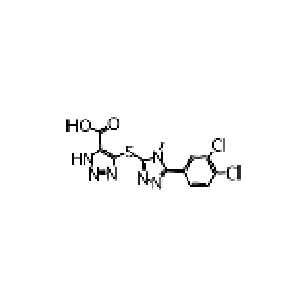 Cn1c(Sc2nn[nH]c2C(=O)O)nnc1-c1ccc(Cl)c(Cl)c1